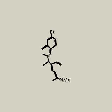 C=C/C(=C\C=C(/C)NC)C(C)P(C)/C=c1/ccc(CC)cc1=C